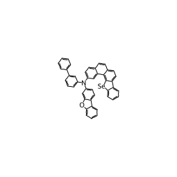 c1ccc(-c2cccc(N(c3ccc4c(c3)oc3ccccc34)c3ccc4ccc5ccc6c7ccccc7[se]c6c5c4c3)c2)cc1